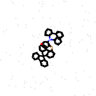 c1ccc(-c2ccccc2N(c2ccccc2)c2cccc3c2sc2cccc(C4(c5ccccc5)c5ccccc5-c5ccccc54)c23)cc1